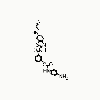 N#CCCN[C@H]1CCc2nc(NC(=O)c3cccc(COC(=O)Nc4ccc(N)cc4)c3)sc2C1